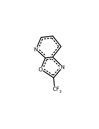 FC(F)(F)c1nc2cccnc2o1